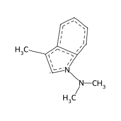 Cc1[c]n(N(C)C)c2ccccc12